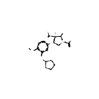 COc1ccc([C@@H]2CN(C(=O)O)C(C)[C@@]2(C)C(C)=O)cc1OC1CCCC1